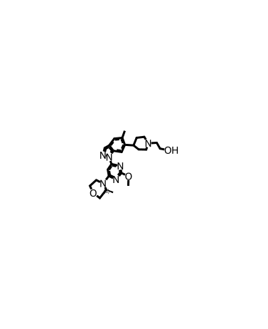 COc1nc(N2CCOC[C@@H]2C)cc(-n2ncc3cc(C)c(C4CCN(CCO)CC4)cc32)n1